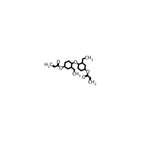 C=CC(=O)OC1CCC(OC2CCC(OC(=O)C=C)CC2CC)C(CC)C1